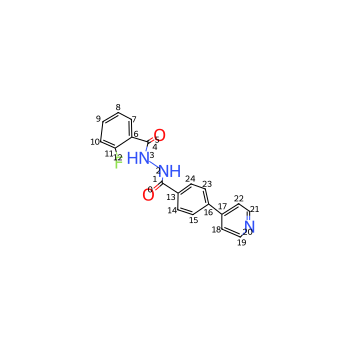 O=C(NNC(=O)c1ccccc1F)c1ccc(-c2ccncc2)cc1